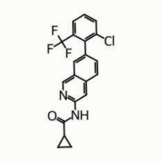 O=C(Nc1cc2ccc(-c3c(Cl)cccc3C(F)(F)F)cc2cn1)C1CC1